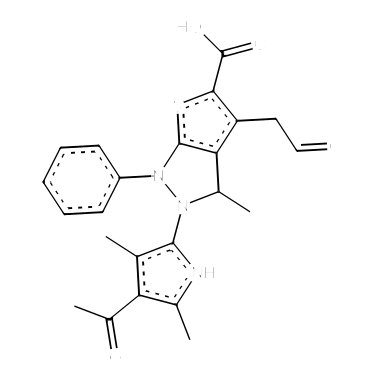 CC(=O)c1c(C)[nH]c(N2C(C)c3c(sc(C(=O)O)c3CC=O)N2c2ccccc2)c1C